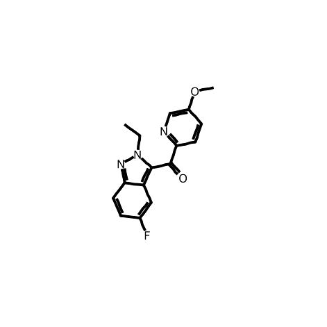 CCn1nc2ccc(F)cc2c1C(=O)c1ccc(OC)cn1